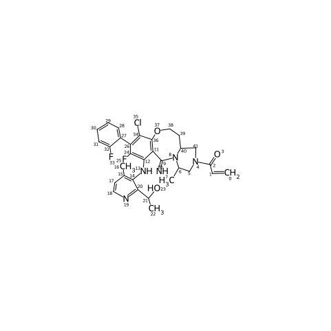 C=CC(=O)N1CC(C)N2C(=N)c3c(Nc4c(C)ccnc4C(C)O)c(F)c(-c4ccccc4F)c(Cl)c3OCCC2C1